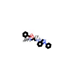 CCCN(CC(O)(CNc1cccc2c1cnn2-c1ccccc1)C(F)(F)F)C(=O)c1ccccc1C